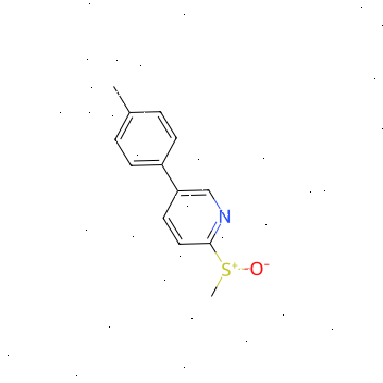 Cc1ccc(-c2ccc([S+](C)[O-])nc2)cc1